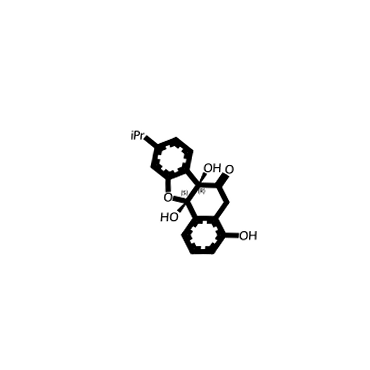 CC(C)c1ccc2c(c1)O[C@@]1(O)c3cccc(O)c3CC(=O)[C@@]21O